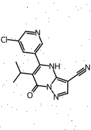 CC(C)c1c(-c2cncc(Cl)c2)[nH]c2c(C#N)cnn2c1=O